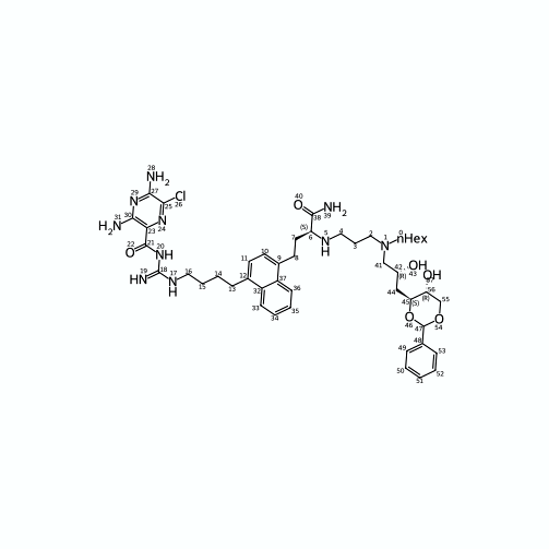 CCCCCCN(CCCN[C@@H](CCc1ccc(CCCCNC(=N)NC(=O)c2nc(Cl)c(N)nc2N)c2ccccc12)C(N)=O)C[C@H](O)C[C@@H]1OC(c2ccccc2)OC[C@H]1O